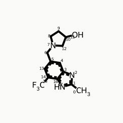 Cc1nc2cc(CN3CCC(O)C3)cc(C(F)(F)F)c2[nH]1